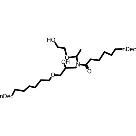 CCCCCCCCCCCCCCCCOCC(O)CN(C(=O)CCCCCCCCCCCCCCC)C(C)OCCO